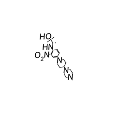 CN1CCN(C2CCN(c3ccc(N[CH]C(C)(C)O)c([N+](=O)[O-])c3)CC2)CC1